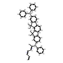 C=C/C=C\C=C(/C)N(c1ccccc1)c1ccc2c(c1)C(C)(C)c1c-2ccc2c1C(C)(C)c1cc(N(c3ccccc3)c3ccccc3)ccc1-2